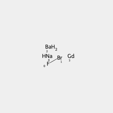 FBr.[BaH2].[Gd].[NaH]